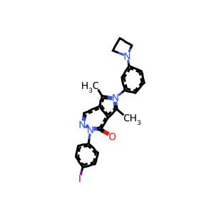 Cc1c2cnn(-c3ccc(I)cc3)c(=O)c2c(C)n1-c1cccc(N2CCC2)c1